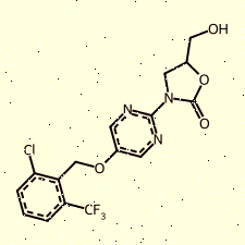 O=C1OC(CO)CN1c1ncc(OCc2c(Cl)cccc2C(F)(F)F)cn1